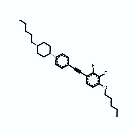 CCCCCOc1ccc(C#Cc2ccc([C@H]3CC[C@H](CCCCC)CC3)cc2)c(F)c1F